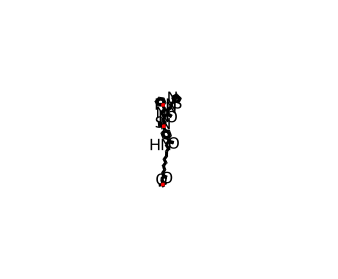 CC(C)(C)OC(=O)CCCCCCCCNC(=O)c1ccc(-c2csc(N3N=C(c4ccccc4)/C(=N\Nc4nccs4)C3=O)n2)cc1